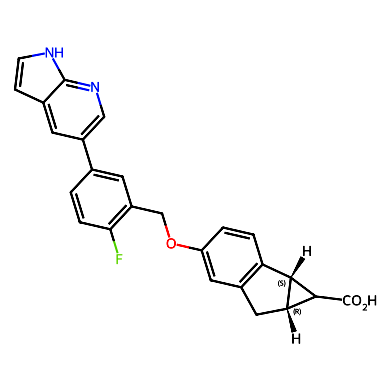 O=C(O)C1[C@H]2c3ccc(OCc4cc(-c5cnc6[nH]ccc6c5)ccc4F)cc3C[C@@H]12